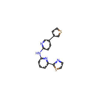 c1cc(Nc2ccc(-c3ccsc3)cn2)nc(-c2nccs2)c1